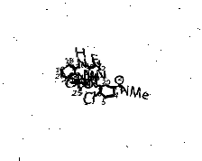 CNC(=O)c1ccc(Cl)c(Nc2ncc(F)c(Nc3ccccc3NS(C)(=O)=O)n2)c1